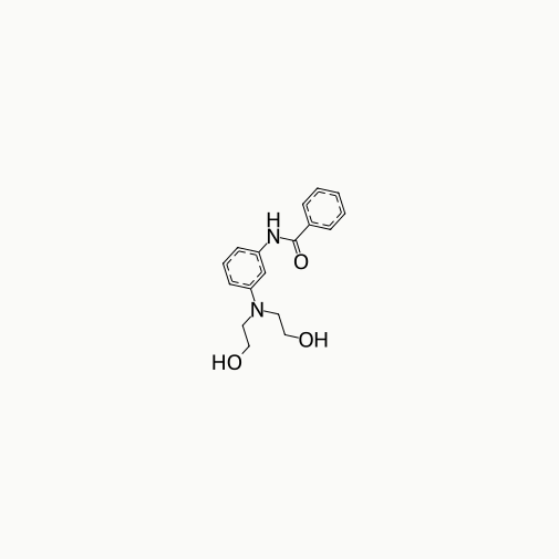 O=C(Nc1cccc(N(CCO)CCO)c1)c1ccccc1